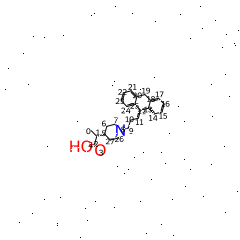 CC(C(=O)O)C1CCN(CCC=C2c3ccccc3Cc3ccccc32)CC1